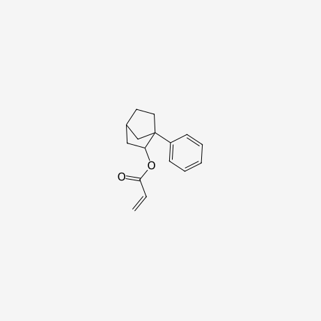 C=CC(=O)OC1CC2CCC1(c1ccccc1)C2